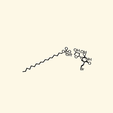 CCCCCCCCCCCCCCCCCCOP(=O)(O)OC[C@H]1O[C@@H](n2cc(/C=C/Br)c(=O)[nH]c2=O)[C@@H](O)[C@@H]1O